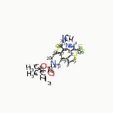 CCn1cc(-c2sccc2C2CN(C(=O)OC(C)(C)C)Cc3sc(C#N)cc32)c(C(F)(F)F)n1